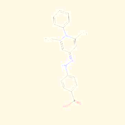 Cc1cc(=NNc2ccc(C(=O)O)cc2)cc(C)n1-c1ccccc1